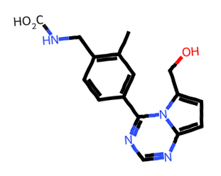 Cc1cc(-c2ncnc3ccc(CO)n23)ccc1CNC(=O)O